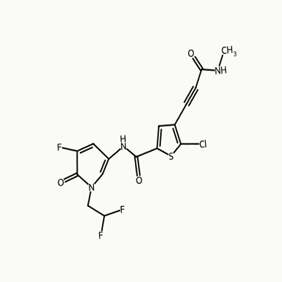 CNC(=O)C#Cc1cc(C(=O)Nc2cc(F)c(=O)n(CC(F)F)c2)sc1Cl